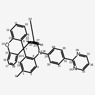 Cc1ccc2c(c1)C1(c3ccccc3Oc3ccccc31)c1cc(C)ccc1N2c1ccc(-c2ncccn2)cc1